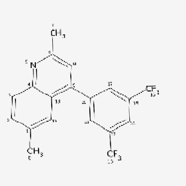 Cc1ccc2nc(C)cc(-c3cc(C(F)(F)F)cc(C(F)(F)F)c3)c2c1